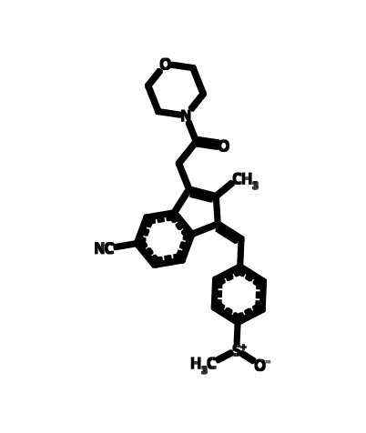 CC1=C(CC(=O)N2CCOCC2)c2cc(C#N)ccc2C1=Cc1ccc([S+](C)[O-])cc1